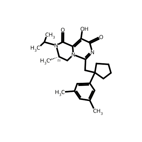 Cc1cc(C)cc(C2(Cc3nc(=O)c(O)c4n3C[C@H](C)N(C(C)C)C4=O)CCCC2)c1